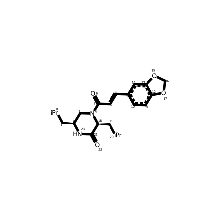 CC(C)C[C@H]1CN(C(=O)/C=C/c2ccc3c(c2)OCO3)[C@@H](CC(C)C)C(=O)N1